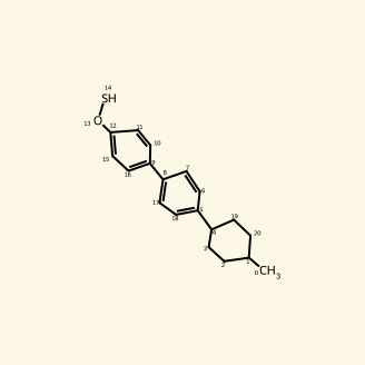 CC1CCC(c2ccc(-c3ccc(OS)cc3)cc2)CC1